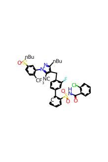 CCCCc1nn(-c2cc([S+]([O-])CCCC)ccc2C(F)(F)F)c(C#N)c1Cc1ccc(-c2ccccc2S(=O)(=O)NC(=O)c2ccccc2Cl)cc1F